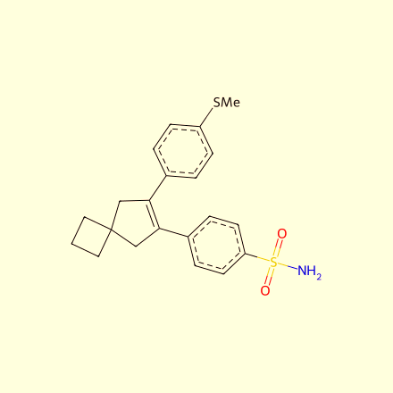 CSc1ccc(C2=C(c3ccc(S(N)(=O)=O)cc3)CC3(CCC3)C2)cc1